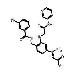 CCCC(=O)/N=C(\N)c1ccc(CNC(=O)c2cccc(Cl)c2)c(NCC(=O)Nc2cccnc2)c1